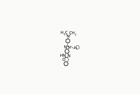 CCN(CC)c1ccc(-c2nc3cc4[nH]c(=O)c(Cc5ccccc5)nc4cc3n2CCN2CCCC2)cc1